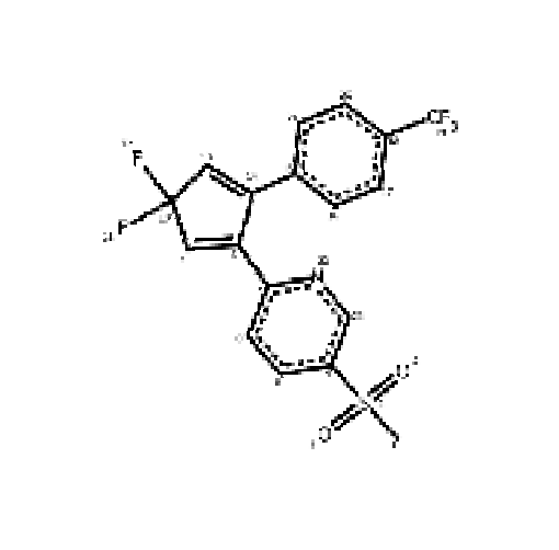 CS(=O)(=O)c1ccc(C2=CC(F)(F)C=C2c2ccc(C(F)(F)F)cc2)nc1